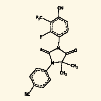 CC1(C)C(=O)N(c2ccc(C#N)c(C(F)(F)F)c2F)C(=S)N1c1ccc(C#N)cc1